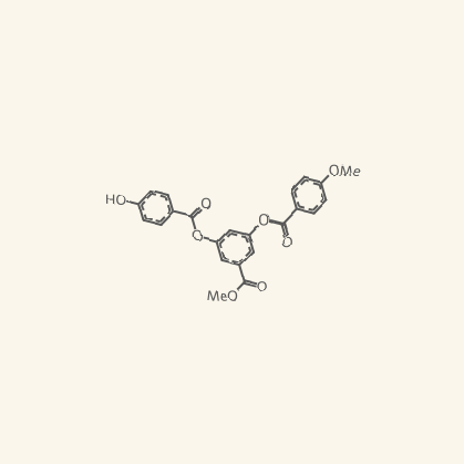 COC(=O)c1cc(OC(=O)c2ccc(O)cc2)cc(OC(=O)c2ccc(OC)cc2)c1